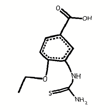 CCOc1ccc(C(=O)O)cc1NC(N)=S